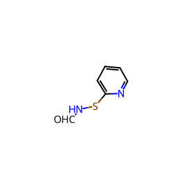 O=CNSc1ccccn1